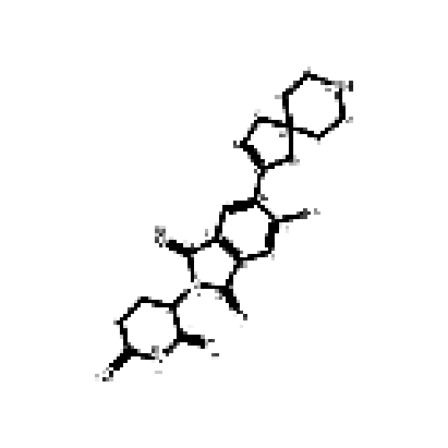 O=C1CCC(N2C(=O)c3cc(F)c(C4=CCC5(CCNCC5)C4)cc3C2=O)C(=O)N1